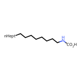 CCCCCCCCCCCCCCCNC(=O)O